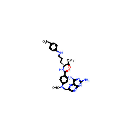 COC(=O)[C@H](CCCNc1ccc([N+](=O)[O-])cc1)NC(=O)c1ccc(N(C=O)Cc2cnc3nc(N)nc(N)c3n2)cc1